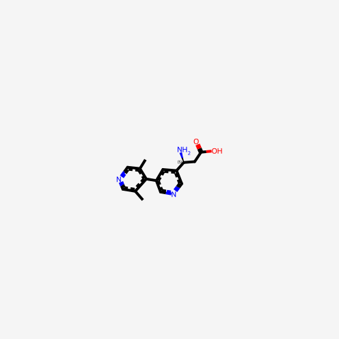 Cc1cncc(C)c1-c1cncc([C@@H](N)CC(=O)O)c1